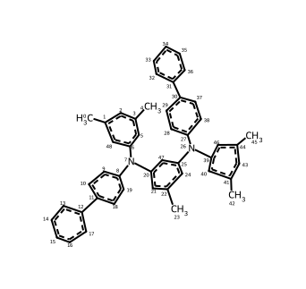 Cc1cc(C)cc(N(c2ccc(-c3ccccc3)cc2)c2cc(C)cc(N(c3ccc(-c4ccccc4)cc3)c3cc(C)cc(C)c3)c2)c1